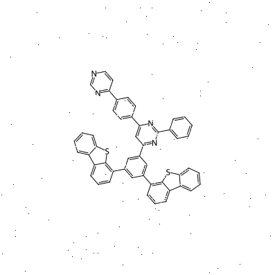 c1ccc(-c2nc(-c3ccc(-c4ccncn4)cc3)cc(-c3cc(-c4cccc5c4sc4ccccc45)cc(-c4cccc5c4sc4ccccc45)c3)n2)cc1